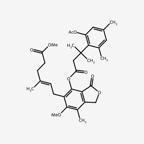 COC(=O)CC/C(C)=C/Cc1c(OC)c(C)c2c(c1OC(=O)CC(C)(C)c1c(C)cc(C)cc1OC(C)=O)C(=O)OC2